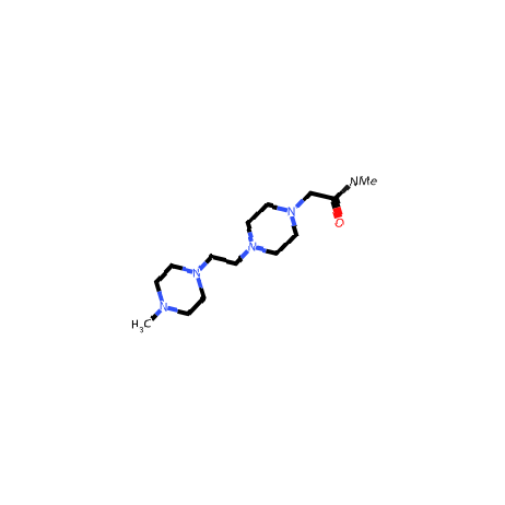 CNC(=O)CN1CCN(CCN2CCN(C)CC2)CC1